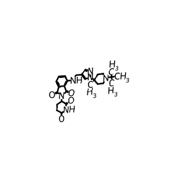 CC(C)(C)N1CCC(C)(n2cc(CNc3cccc4c3C(=O)N(C3CCC(=O)NC3=O)C4=O)cn2)CC1